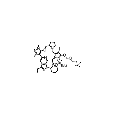 C=Cc1nn(C2CCCCO2)c2cnc(-c3c(C)nn(C)c3OC[C@H]3CCCN3Cc3c(I)c(OCOCC[Si](C)(C)C)nn3CCO[Si](C)(C)C(C)(C)C)cc12